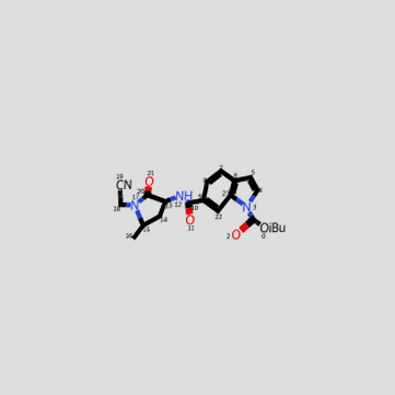 CC(C)COC(=O)n1ccc2ccc(C(=O)NC3CC(C)N(CC#N)C3=O)cc21